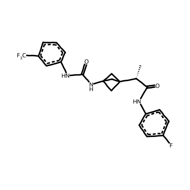 C[C@H](C(=O)Nc1ccc(F)cc1)C12CC(NC(=O)Nc3cccc(C(F)(F)F)c3)(C1)C2